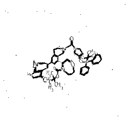 Cc1c[nH]c2ncc(-c3cc4c(c([C@@H]5COCCN5C(=O)OC(C)(C)C)c3)CN(C(=O)N3CCC(O[Si](c5ccccc5)(c5ccccc5)C(C)(C)C)C3)CC4)cc12